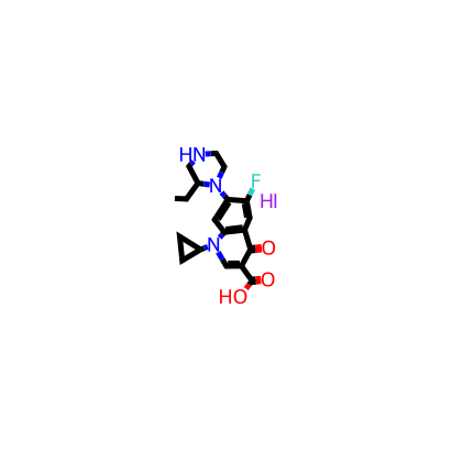 CCC1CNCCN1c1cc2c(cc1F)c(=O)c(C(=O)O)cn2C1CC1.I